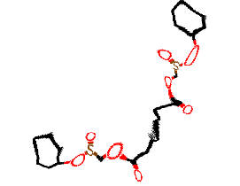 O=C(CCCCC(=O)OCS(=O)OC1CCCCC1)OCS(=O)OC1CCCCC1